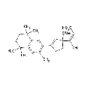 COC1(/C(C)=C\C(=O)O)C=C(c2cc3c(cc2C)C(C)(C)CCC3(C)C)CC1